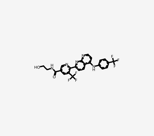 O=C(NCCO)c1cnc(-c2ccc3c(Nc4ccc(C(F)(F)F)cc4)ccnc3n2)c(C(F)(F)F)c1